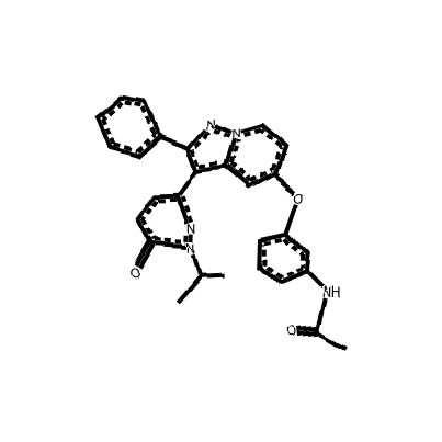 CC(=O)Nc1cccc(Oc2ccn3nc(-c4ccccc4)c(-c4ccc(=O)n(C(C)C)n4)c3c2)c1